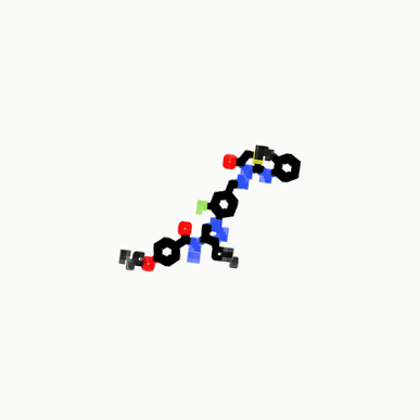 Cc1nn(-c2ccc(C=NN3C(=O)CS/C3=N\c3ccccc3C(C)C)cc2F)cc1NC(=O)c1ccc(OC(F)(F)F)cc1